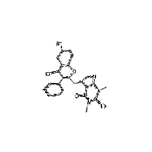 Cn1c(=O)c2c(ncn2Cc2oc3ccc(Br)cc3c(=O)c2-c2ccccc2)n(C)c1=O